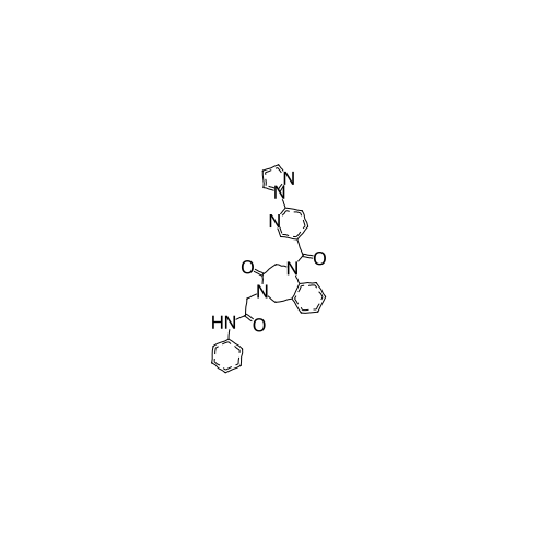 O=C(CN1Cc2ccccc2N(C(=O)c2ccc(-n3cccn3)nc2)CC1=O)Nc1ccccc1